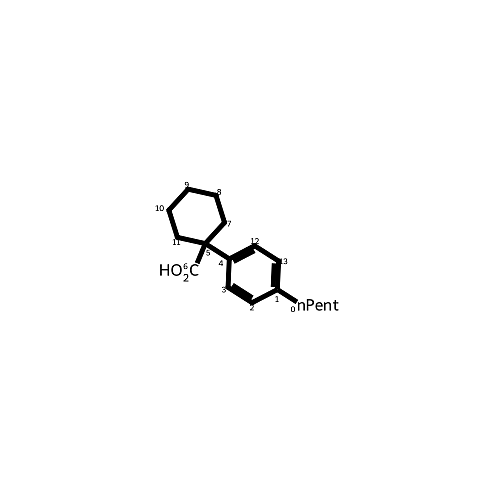 CCCCCc1ccc(C2(C(=O)O)CCCCC2)cc1